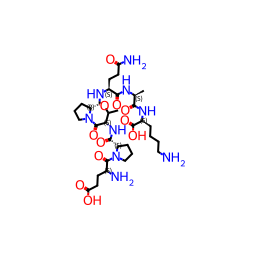 CC(C)[C@H](NC(=O)[C@@H]1CCCN1C(=O)[C@@H](N)CCC(=O)O)C(=O)N1CCC[C@@H]1C(=O)N[C@@H](CCC(N)=O)C(=O)N[C@@H](C)C(=O)N[C@@H](CCCCN)C(=O)O